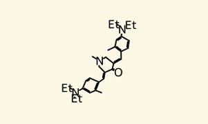 CCN(CC)c1ccc(C=C2CN(C)CC(=Cc3ccc(N(CC)CC)cc3C)C2=O)c(C)c1